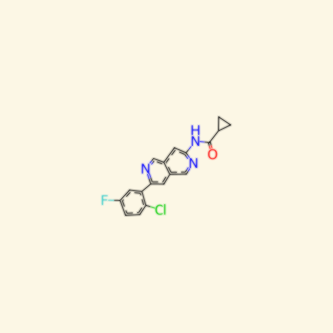 O=C(Nc1cc2cnc(-c3cc(F)ccc3Cl)cc2cn1)C1CC1